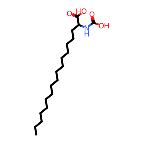 CCCCCCCCCCCCCCCCC(NC(=O)O)C(=O)O